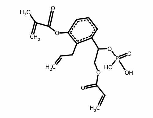 C=CCc1c(OC(=O)C(=C)C)cccc1C(COC(=O)C=C)OP(=O)(O)O